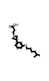 CC(C)CCCCOc1cccc(C2CN(CCC(=O)O)C2)c1